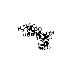 Nc1nc(C(=NO)C(=O)NC2C(=O)N3CC(Sc4cc(=O)c5nccnc5s4)(C(=O)O)CS[C@H]23)c(Cl)s1